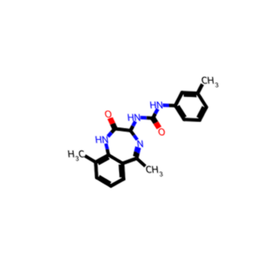 CC1=NC(NC(=O)Nc2cccc(C)c2)C(=O)Nc2c(C)cccc21